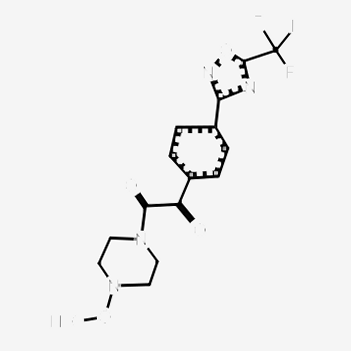 CON1CCN(C(=O)C(=O)c2ccc(-c3noc(C(F)(F)F)n3)cc2)CC1